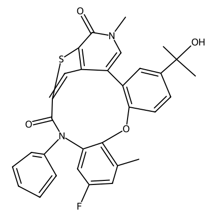 Cc1cc(F)cc2c1Oc1ccc(C(C)(C)O)cc1-c1cn(C)c(=O)c3sc(cc13)C(=O)N2c1ccccc1